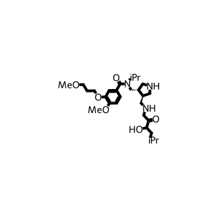 COCCCOc1cc(C(=O)N(C[C@@H]2CNC[C@H]2CNCC(=O)C(O)CC(C)C)C(C)C)ccc1OC